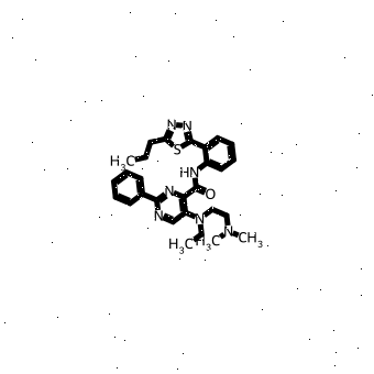 CCCc1nnc(-c2ccccc2NC(=O)c2nc(-c3ccccc3)ncc2N(CC)CCN(C)C)s1